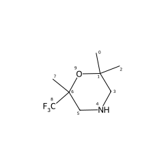 CC1(C)CNCC(C)(C(F)(F)F)O1